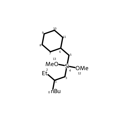 CCCCC(CC)C[Si](CC1CCCCC1)(OC)OC